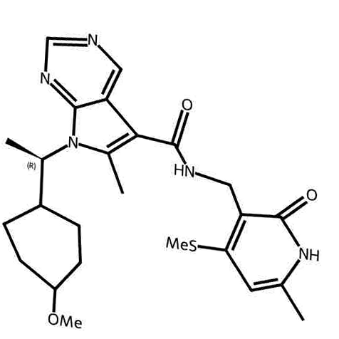 COC1CCC([C@@H](C)n2c(C)c(C(=O)NCc3c(SC)cc(C)[nH]c3=O)c3cncnc32)CC1